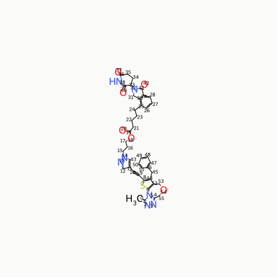 Cc1nnc2n1-c1sc(C#Cc3cnn(CCCOC(=O)CCCCc4cccc5c4CN(C4CCC(=O)NC4=O)C5=O)c3)c(Cc3ccccc3)c1COC2